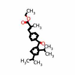 CCOC(=O)/C(C)=C/c1ccc(C(=O)c2ccc(C(C)C)cc2C(C)C)cc1